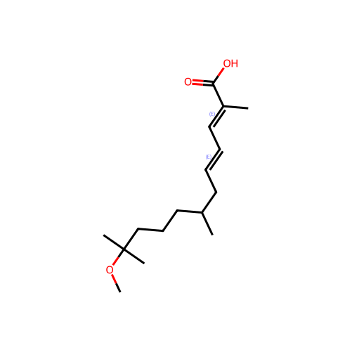 COC(C)(C)CCCC(C)C/C=C/C=C(\C)C(=O)O